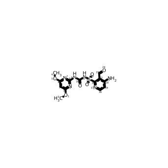 COc1cc(OC)nc(NC(=O)NS(=O)(=O)c2nccc(N)c2C=O)n1